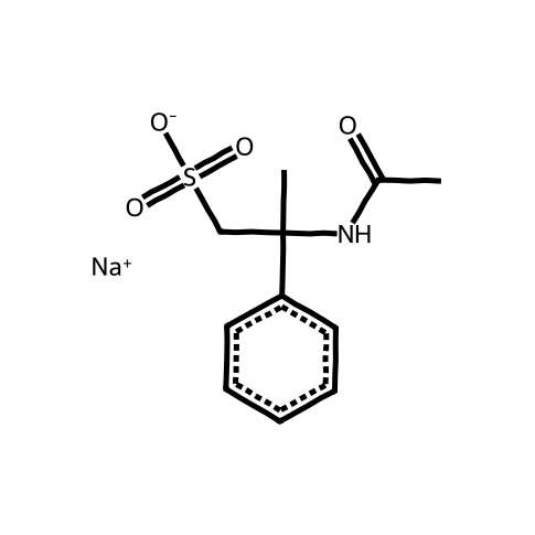 CC(=O)NC(C)(CS(=O)(=O)[O-])c1ccccc1.[Na+]